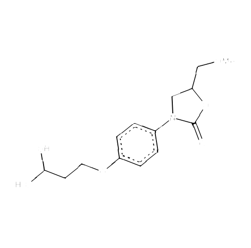 COCC1CN(c2ccc(OCCC(C)O)cc2)C(=O)O1